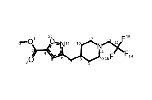 COC(=O)c1cc(CC2CCN(CC(F)(F)F)CC2)no1